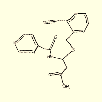 N#Cc1ccccc1CSC(CC(=O)O)NC(=O)c1ccncc1